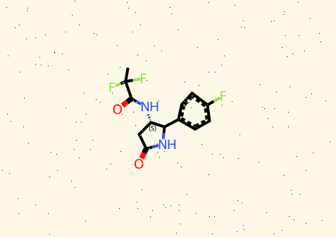 CC(F)(F)C(=O)N[C@H]1CC(=O)NC1c1ccc(F)cc1